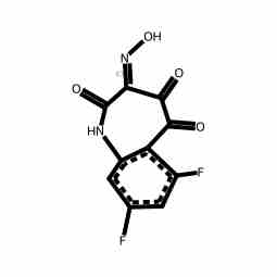 O=C1Nc2cc(F)cc(F)c2C(=O)C(=O)/C1=N\O